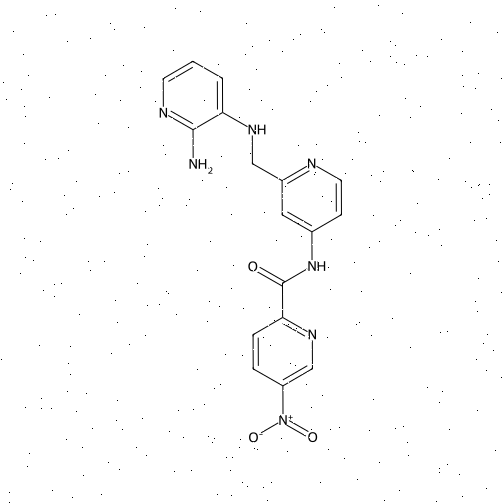 Nc1ncccc1NCc1cc(NC(=O)c2ccc([N+](=O)[O-])cn2)ccn1